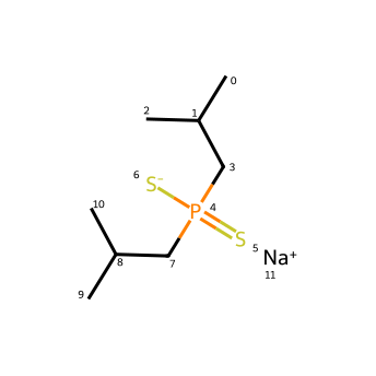 CC(C)CP(=S)([S-])CC(C)C.[Na+]